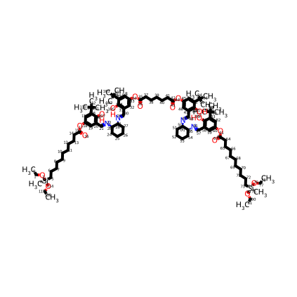 CCO[Si](C)(CCCCCCCCCCC(=O)Oc1cc(C=N[C@@H]2CCCC[C@H]2N=Cc2cc(OC(=O)CCCCCC(=O)Oc3cc(C=N[C@@H]4CCCC[C@H]4N=Cc4cc(OC(=O)CCCCCCCCCC[Si](C)(OCC)OCC)cc(C(C)(C)C)c4O)c(O)c(C(C)(C)C)c3)cc(C(C)(C)C)c2O)c(O)c(C(C)(C)C)c1)OCC